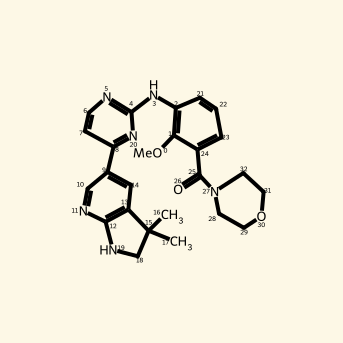 COc1c(Nc2nccc(-c3cnc4c(c3)C(C)(C)CN4)n2)cccc1C(=O)N1CCOCC1